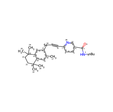 CCCCNC(=O)c1ccc(C#C[Se]c2cc3c(cc2C)C(C)(C)CCC3(C)C)nc1